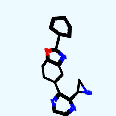 c1ccc(-c2nc3c(o2)CCC(c2nccnc2[C@H]2CN2)C3)cc1